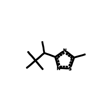 Cc1nc(C(C)C(C)(C)C)ns1